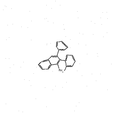 Cc1ccccc1-c1c(-c2ccccc2)cc2ccccc2c1P